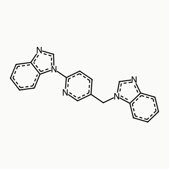 c1ccc2c(c1)ncn2Cc1ccc(-n2cnc3ccccc32)nc1